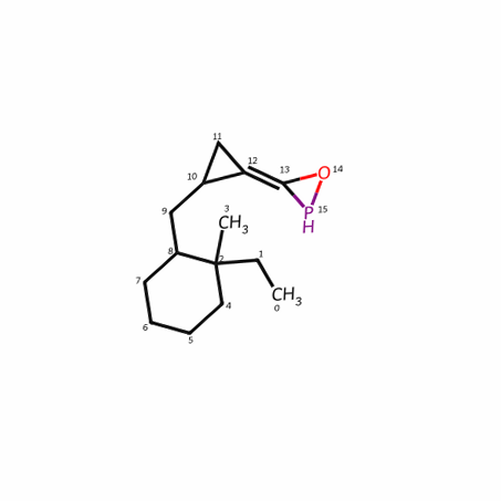 CCC1(C)CCCCC1CC1C/C1=C1\OP1